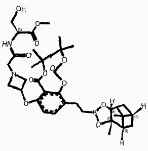 COC(=O)[C@H](CO)NC(=O)CN1CC(Oc2ccc(CCB3O[C@@H]4C[C@@H]5C[C@@H](C5(C)C)[C@]4(C)O3)c(OC(=O)OC(C)(C)C)c2C(=O)OC(C)(C)C)C1